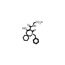 O=C(O)CNC(=O)C1=C(O)CC2(CCCCC2)CN(Cc2ccccc2)C1=O